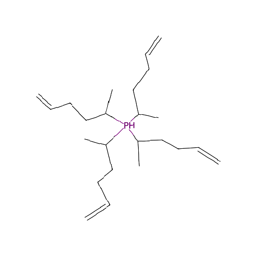 C=CCCC(C)[PH](C(C)CCC=C)(C(C)CCC=C)C(C)CCC=C